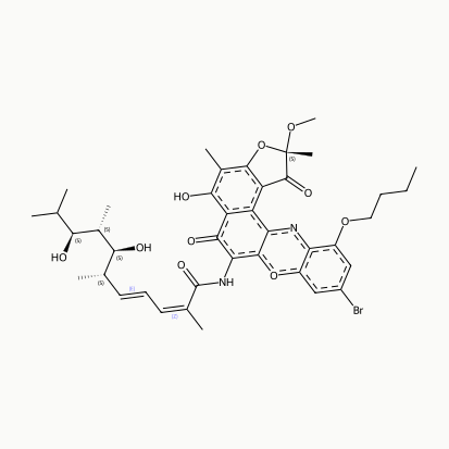 CCCCOc1cc(Br)cc2oc3c(NC(=O)/C(C)=C\C=C\[C@H](C)[C@H](O)[C@@H](C)[C@@H](O)C(C)C)c(=O)c4c(O)c(C)c5c(c4c-3nc12)C(=O)[C@@](C)(OC)O5